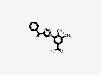 Cc1cc(C(=O)O)cc(-n2cc(C(=O)c3ccccc3)nn2)c1C